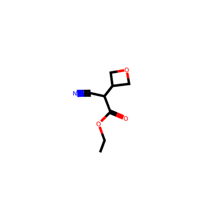 CCOC(=O)C(C#N)C1COC1